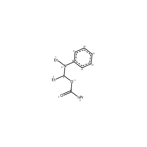 CCCC(=O)OC(CC)N(CC)c1ccccc1